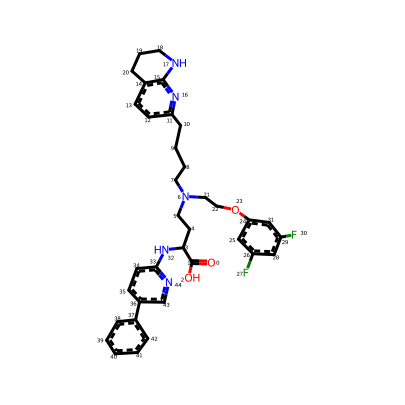 O=C(O)C(CCN(CCCCc1ccc2c(n1)NCCC2)CCOc1cc(F)cc(F)c1)Nc1ccc(-c2ccccc2)cn1